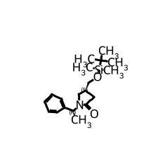 C[C@H](c1ccccc1)N1C[C@@H](CO[Si](C)(C)C(C)(C)C)CC1=O